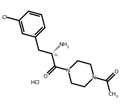 CC(=O)N1CCN(C(=O)[C@@H](N)Cc2cccc(Cl)c2)CC1.Cl